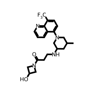 CC1CC(NCCC(=O)N2CC(O)C2)CN(c2ccc(C(F)(F)F)c3ncccc23)C1